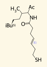 CC[C@H](C)CCC(C)C(NC(=O)CC/C=C/CCS)C(C)=O